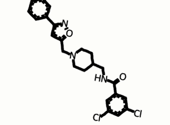 O=C(NCC1CCN(Cc2cc(-c3ccccc3)no2)CC1)c1cc(Cl)cc(Cl)c1